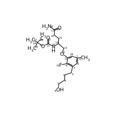 Cc1cc(CCCCO)c(F)c(OCC(CCC(N)=O)NC(=O)OC(C)(C)C)c1